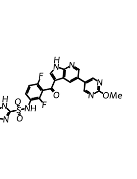 COc1ncc(-c2cnc3[nH]cc(C(=O)c4c(F)ccc(NS(=O)(=O)c5ncn[nH]5)c4F)c3c2)cn1